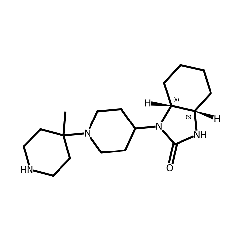 CC1(N2CCC(N3C(=O)N[C@H]4CCCC[C@H]43)CC2)CCNCC1